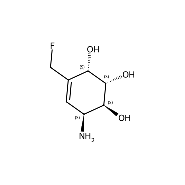 N[C@H]1C=C(CF)[C@H](O)[C@H](O)[C@H]1O